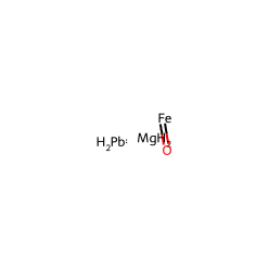 [MgH2].[O]=[Fe].[PbH2]